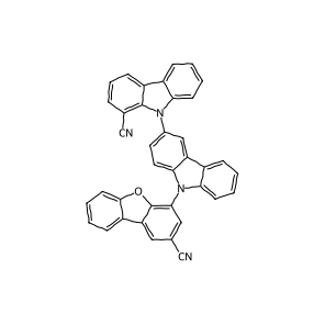 N#Cc1cc(-n2c3ccccc3c3cc(-n4c5ccccc5c5cccc(C#N)c54)ccc32)c2oc3ccccc3c2c1